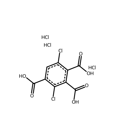 Cl.Cl.Cl.O=C(O)c1cc(Cl)c(C(=O)O)c(C(=O)O)c1Cl